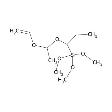 C=COC(C)OC(CC)[Si](OC)(OC)OC